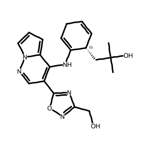 CC(C)(O)C[C@H]1C=CCC=C1Nc1c(-c2nc(CO)no2)cnn2cccc12